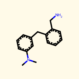 CN(C)c1[c]ccc(Cc2ccccc2CN)c1